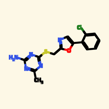 Cc1nc(N)nc(SCc2ncc(-c3ccccc3Cl)o2)n1